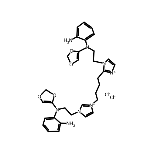 Nc1ccccc1N(CCN1C=C[N+]=C1CCCC[n+]1ccn(CCN(C2=COCO2)c2ccccc2N)c1)C1=COCO1.[Cl-].[Cl-]